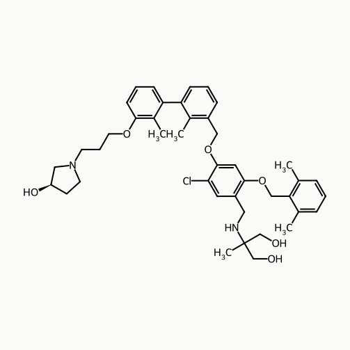 Cc1cccc(C)c1COc1cc(OCc2cccc(-c3cccc(OCCCN4CC[C@@H](O)C4)c3C)c2C)c(Cl)cc1CNC(C)(CO)CO